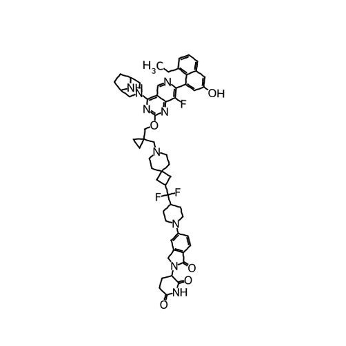 CCc1cccc2cc(O)cc(-c3ncc4c(N5CC6CCC(C5)N6)nc(OCC5(CN6CCC7(CC6)CC(C(F)(F)C6CCN(c8ccc9c(c8)CN(C8CCC(=O)NC8=O)C9=O)CC6)C7)CC5)nc4c3F)c12